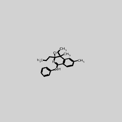 CCC[C@@]1(C)N=C(Nc2ccccc2)c2ccc(C)cc2C1(C)CC